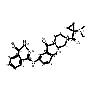 CN(C)C1(C(=O)N2CCN(C(=O)c3cc(Oc4n[nH]c(=O)c5ccccc45)ccc3F)CC2)CC1